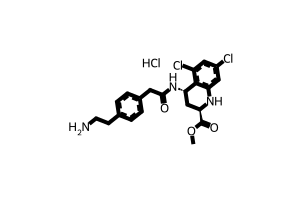 COC(=O)[C@H]1C[C@H](NC(=O)Cc2ccc(CCN)cc2)c2c(Cl)cc(Cl)cc2N1.Cl